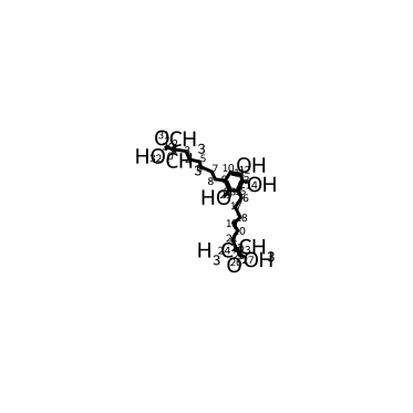 CC(C)(CCCCCCc1cc(O)c(O)c(CCCCCCC(C)(C)C(=O)O)c1O)C(=O)O